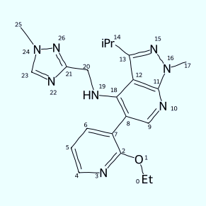 CCOc1ncccc1-c1cnc2c(c(C(C)C)nn2C)c1NCc1ncn(C)n1